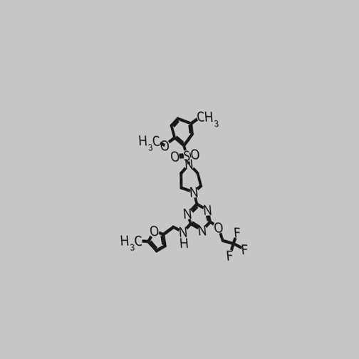 COc1ccc(C)cc1S(=O)(=O)N1CCN(c2nc(NCc3ccc(C)o3)nc(OCC(F)(F)F)n2)CC1